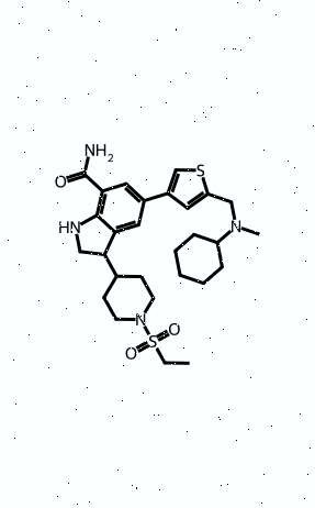 CCS(=O)(=O)N1CCC(C2CNc3c(C(N)=O)cc(-c4csc(CN(C)C5CCCCC5)c4)cc32)CC1